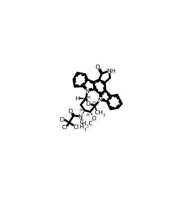 CO[C@@H]1[C@H](N(C)C(=O)C(Cl)(Cl)Cl)C[C@H]2O[C@]1(C)n1c3ccccc3c3c4c(c5c6ccccc6n2c5c31)C(=O)NC4